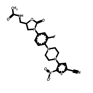 CC(=O)NCC1CN(c2ccc(N3CCN(c4cc(C#N)sc4[N+](=O)[O-])CC3)c(F)c2)C(=O)O1